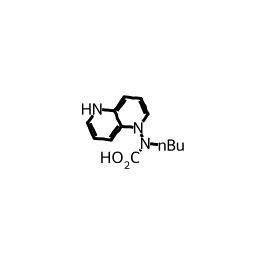 CCCCN(C(=O)O)N1C=CC=C2NC=CC=C21